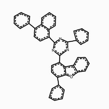 c1ccc(-c2nc(-c3ccc(-c4ccccc4)c4ccccc34)nc(-c3ccc(-c4ccccc4)c4oc5ccccc5c34)n2)cc1